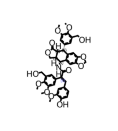 COc1cc(/C=C(/C(=O)N[C@@H]2c3cc4c(cc3[C@@H](c3cc(CO)c(OC)c(OC)c3)[C@H]3C(=O)OC[C@@H]32)OCO4)c2cc(CO)c(OC)c(OC)c2)ccc1O